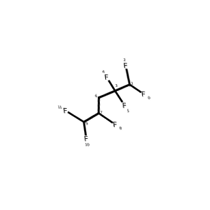 F[C](F)C(F)(F)CC(F)C(F)F